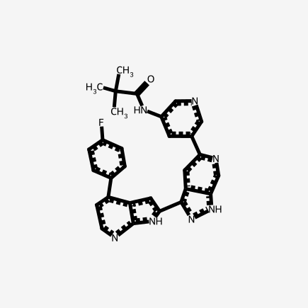 CC(C)(C)C(=O)Nc1cncc(-c2cc3c(-c4cc5c(-c6ccc(F)cc6)ccnc5[nH]4)n[nH]c3cn2)c1